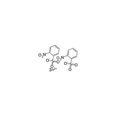 O=[N+]([O-])c1ccccc1S(=O)(=O)[O-].O=[N+]([O-])c1ccccc1S(=O)(=O)[O-].[Zn+2]